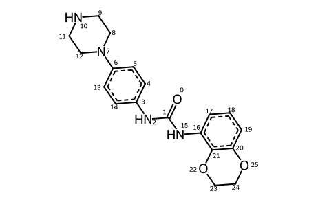 O=C(Nc1ccc(N2CCNCC2)cc1)Nc1cccc2c1OCCO2